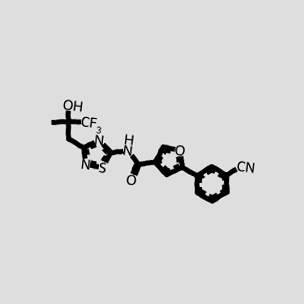 CC(O)(Cc1nsc(NC(=O)c2coc(-c3cccc(C#N)c3)c2)n1)C(F)(F)F